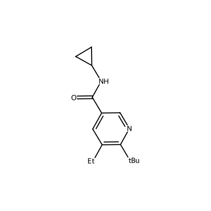 CCc1cc(C(=O)NC2CC2)cnc1C(C)(C)C